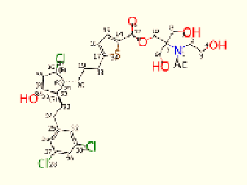 CC(=O)N(CCO)C(CO)(CO)COC(=O)c1ccc(CCC[C@@H]2[C@@H](CCc3cc(Cl)cc(Cl)c3)[C@H](O)C[C@H]2Cl)s1